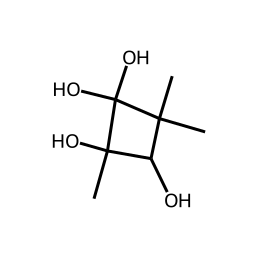 CC1(C)C(O)C(C)(O)C1(O)O